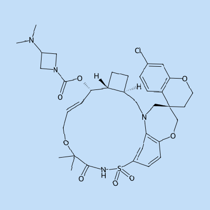 CN(C)C1CN(C(=O)O[C@H]2/C=C/COC(C)(C)C(=O)NS(=O)(=O)c3ccc4c(c3)N(C[C@@H]3CC[C@H]32)C[C@@]2(CCOc3cc(Cl)ccc32)CO4)C1